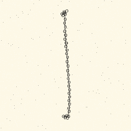 O=C(CCOCCOCCOCCOCCOCCOCCOCCOCCOCCOCCOCCOCCOCCOCCOCCOCCOCCOCCOCCOCCOCCOCCOCCOCCOCCC(=O)ON1C(=O)CCC1=O)ON1C(=O)CCC1=O